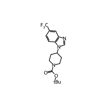 CC(C)(C)OC(=O)N1CCC(n2cnc3cc(C(F)(F)F)ccc32)CC1